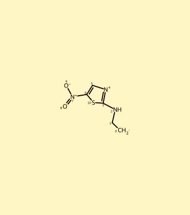 [CH2]CNc1ncc([N+](=O)[O-])s1